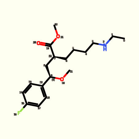 CCNCCCC[C@@H](C[C@@H](OC)c1ccc(F)cc1)C(=O)OC